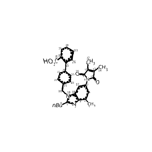 CCCCc1nc2c(C)cc(N3C(=O)C(C)=C(C)C3=O)cc2n1Cc1ccc(-c2ccccc2C(=O)O)cc1